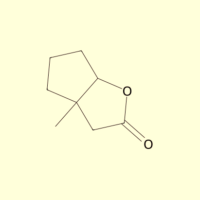 CC12CCCC1OC(=O)C2